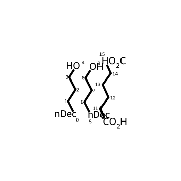 CCCCCCCCCCCCCO.CCCCCCCCCCCCCO.O=C(O)CCCCC(=O)O